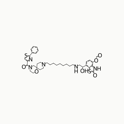 O=COc1ccc(C(O)CNCCCCCCCCCN2CCC3(CC2)CN(C(=O)c2csc(-c4ccccc4)n2)CCO3)c2sc(=O)[nH]c12